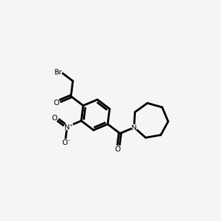 O=C(CBr)c1ccc(C(=O)N2CCCCCC2)cc1[N+](=O)[O-]